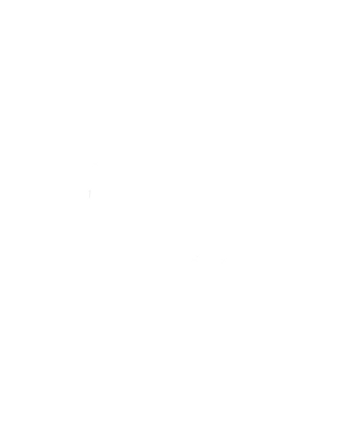 [OH][Sn][CH2]CCCCC(Cl)(Cl)Cl